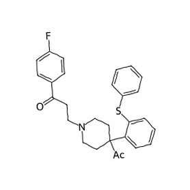 CC(=O)C1(c2ccccc2Sc2ccccc2)CCN(CCC(=O)c2ccc(F)cc2)CC1